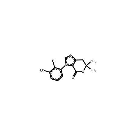 Cc1cccc(-n2cnc3c2C(=O)OC(C)(C)C3)c1F